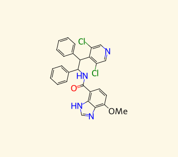 COc1ccc(C(=O)NC(c2ccccc2)C(c2ccccc2)c2c(Cl)cncc2Cl)c2[nH]cnc12